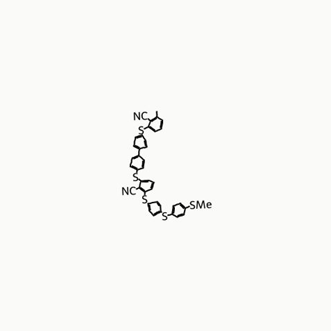 CSc1ccc(Sc2ccc(Sc3cccc(Sc4ccc(-c5ccc(Sc6cccc(C)c6C#N)cc5)cc4)c3C#N)cc2)cc1